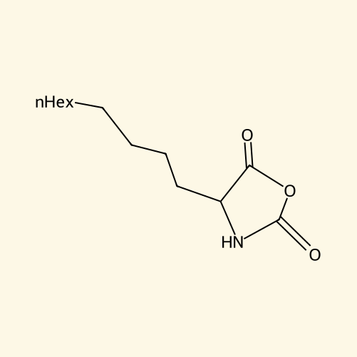 CCCCCCCCCCC1NC(=O)OC1=O